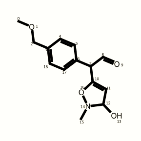 COCc1ccc(C(C=O)C2=CC(O)N(C)O2)cc1